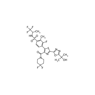 Cc1c(S(=O)(=O)NC(C)C(F)(F)F)ccc(-c2sc(-c3nnc(C(C)(C)O)o3)nc2C(=O)N2CCC(F)(F)CC2)c1F